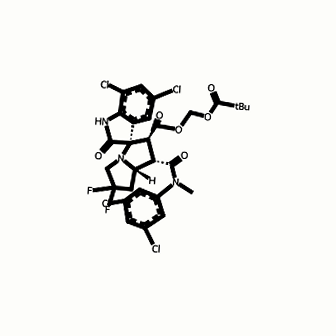 CN(C(=O)[C@@H]1[C@@H]2CC(F)(F)CN2[C@@]2(C(=O)Nc3c(Cl)cc(Cl)cc32)[C@H]1C(=O)OCOC(=O)C(C)(C)C)c1cc(Cl)cc(Cl)c1